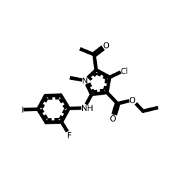 CCOC(=O)c1c(Cl)c(C(C)=O)n(C)c1Nc1ccc(I)cc1F